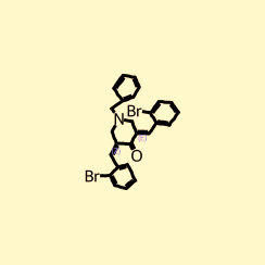 O=C1/C(=C\c2ccccc2Br)CN(Cc2ccccc2)C/C1=C\c1ccccc1Br